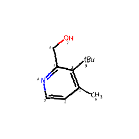 Cc1ccnc(CO)c1C(C)(C)C